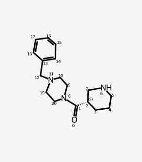 O=C([C@H]1CCCNC1)N1CCN(Cc2ccccc2)CC1